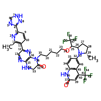 Cc1nc(-c2nc[nH]n2)ccc1-c1cnc2c(n1)N(CCCCCOC(C1CC[C@H](C)N1c1ccc3[nH]c(=O)cc(C(F)(F)F)c3c1)C(F)(F)F)C(=O)CN2